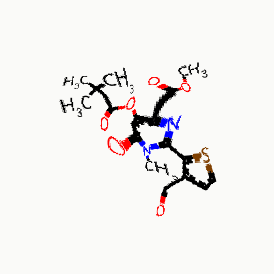 COC(=O)c1nc(-c2sccc2C=O)n(C)c(=O)c1OC(=O)C(C)(C)C